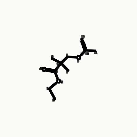 CCOC(=O)C(C)(C)COC(C)=S